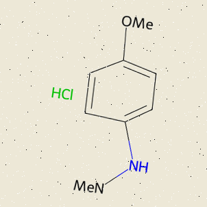 CNNc1ccc(OC)cc1.Cl